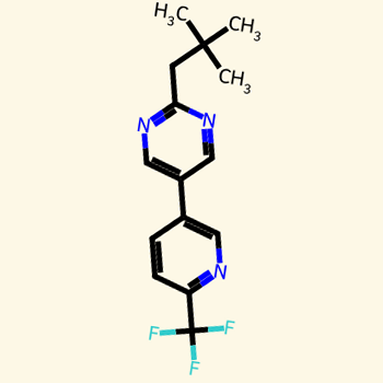 CC(C)(C)Cc1ncc(-c2ccc(C(F)(F)F)nc2)cn1